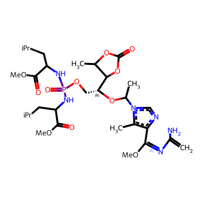 C=C(N)/N=C(/OC)c1ncn(C(C)O[C@H](COP(=O)(NC(CC(C)C)C(=O)OC)NC(CC(C)C)C(=O)OC)C2OC(=O)OC2C)c1C